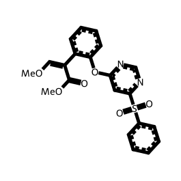 COC=C(C(=O)OC)c1ccccc1Oc1cc(S(=O)(=O)c2ccccc2)ncn1